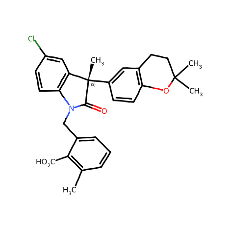 Cc1cccc(CN2C(=O)[C@@](C)(c3ccc4c(c3)CCC(C)(C)O4)c3cc(Cl)ccc32)c1C(=O)O